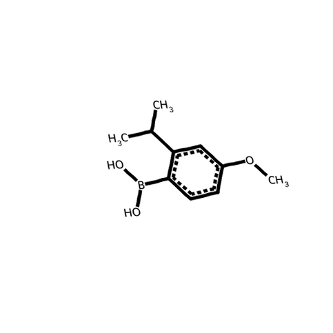 COc1ccc(B(O)O)c(C(C)C)c1